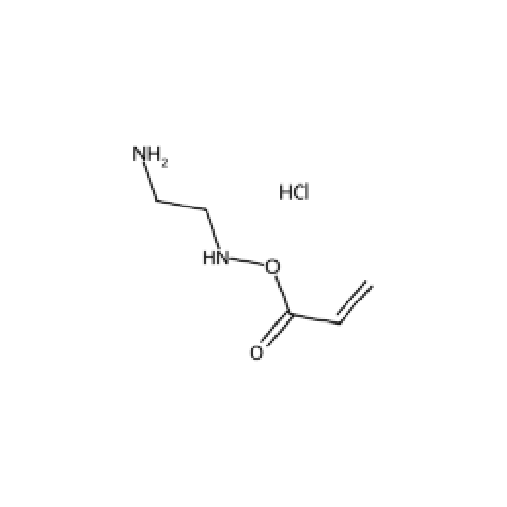 C=CC(=O)ONCCN.Cl